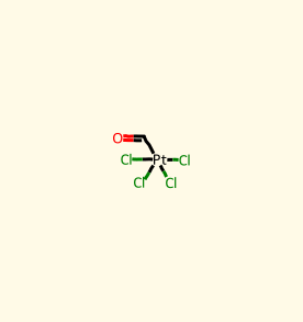 O=[CH][Pt]([Cl])([Cl])([Cl])[Cl]